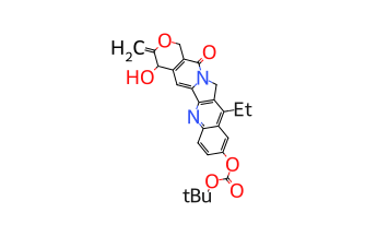 C=C1OCc2c(cc3n(c2=O)Cc2c-3nc3ccc(OC(=O)OC(C)(C)C)cc3c2CC)C1O